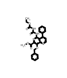 CCOC(=O)NC(=S)Nc1nc(C(=O)OC)c(OCc2ccccc2)c2nccc(-c3ccccc3)c12